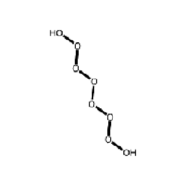 OOOOOOOO